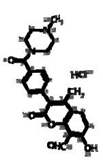 Cc1c(-c2ccc(C(=O)N3CCN(C)CC3)cc2)c(=O)oc2c(C=O)c(O)ccc12.Cl